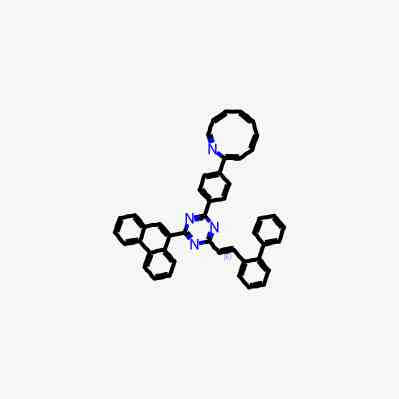 C(=C\c1ccccc1-c1ccccc1)/c1nc(-c2ccc(-c3ccccccccn3)cc2)nc(-c2cc3ccccc3c3ccccc23)n1